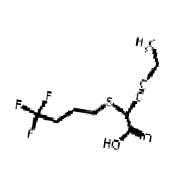 CCCCC(SCCCC(F)(F)F)C(=O)O